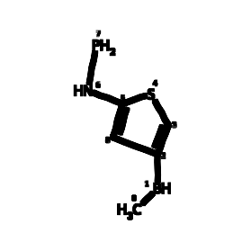 CBc1csc(NP)c1